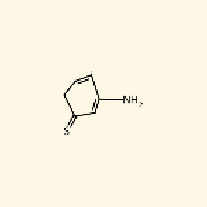 NC1=CC(=S)CC=[C]1